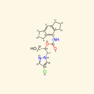 O=C(Nc1c2c(cc3c1CCC3)CCC2)OC(Cn1cc(Cl)cn1)C(=O)O